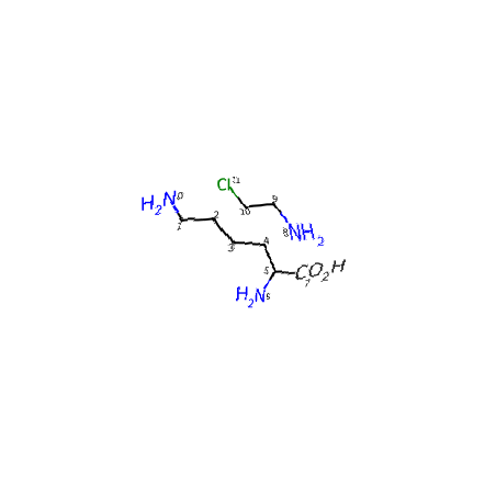 NCCCCC(N)C(=O)O.NCCCl